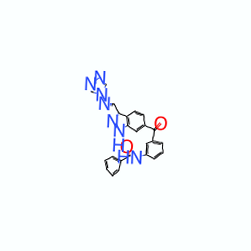 O=C(Nc1cccc(C(=O)c2ccc3c(/C=N/n4cnnc4)n[nH]c3c2)c1)c1ccccc1